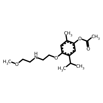 COCCNCCOc1cc(C)c(OC(C)=O)cc1C(C)C